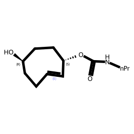 CCCNC(=O)O[C@@H]1/C=C/CC[C@@H](O)CC1